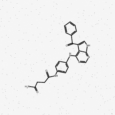 NC(=O)CCC(=O)Nc1ccc(Nc2ncnc3[nH]cc(C(=O)c4ccccc4)c23)cc1